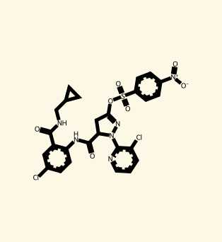 O=C(NCC1CC1)c1cc(Cl)ccc1NC(=O)C1CC(OS(=O)(=O)c2ccc([N+](=O)[O-])cc2)=NN1c1ncccc1Cl